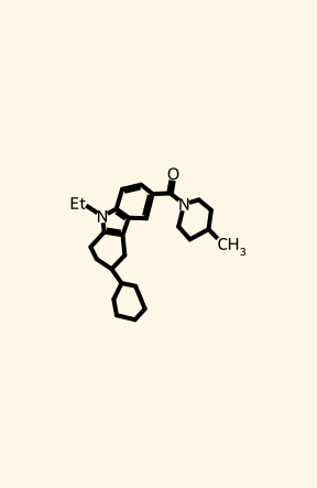 CCn1c2c(c3cc(C(=O)N4CCC(C)CC4)ccc31)CC(C1CCCCC1)CC2